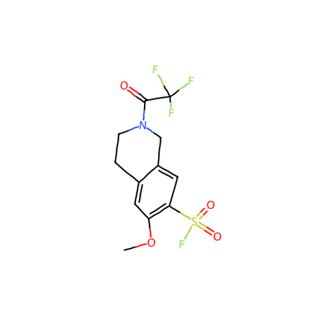 COc1cc2c(cc1S(=O)(=O)F)CN(C(=O)C(F)(F)F)CC2